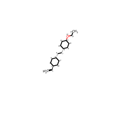 C=C[C@H]1CC[C@H](CC[C@H]2CC[C@H](OCC)CC2)CC1